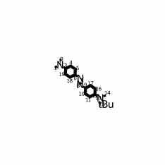 CN(C)c1ccc(/N=N/c2ccc(N(C)C(C)(C)C)cc2)cc1